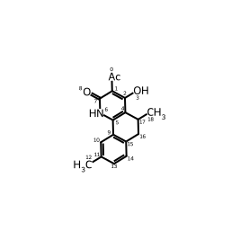 CC(=O)c1c(O)c2c([nH]c1=O)-c1cc(C)ccc1CC2C